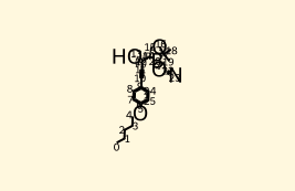 CCCCCOc1ccc(C#C[C@H](O)[C@H]2COC(C)(C)B2OC#N)cc1